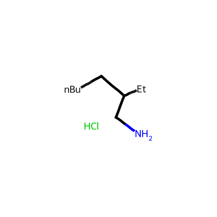 CCCCCC(CC)CN.Cl